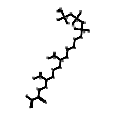 C=C(C)C(=O)OCC(CCCC(COCCC[Si](C)(C)O[Si](C)(C)C[Si](C)(C)CCCC)PC)PC